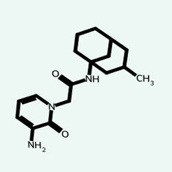 CC1CC2CCCC(NC(=O)Cn3cccc(N)c3=O)(C1)C2